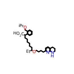 CCC(CCCCCCC(C(=O)O)c1ccccc1COC(C)C)OCCCCc1ccc2c(n1)NCCC2